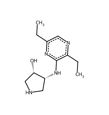 CCc1cnc(CC)c(N[C@@H]2CNC[C@@H]2O)n1